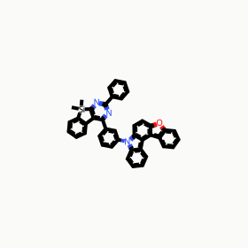 C[Si]1(C)c2ccccc2-c2c(-c3cccc(-n4c5ccccc5c5c6c(ccc54)oc4ccccc46)c3)nc(-c3ccccc3)nc21